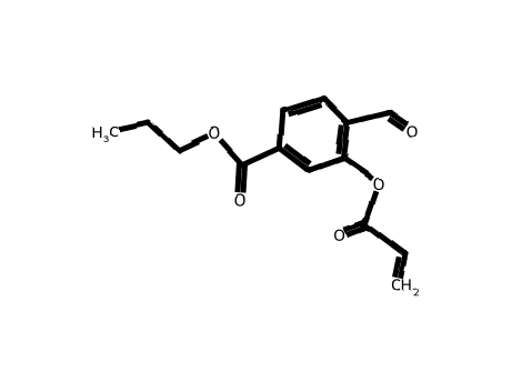 C=CC(=O)Oc1cc(C(=O)OCCC)ccc1C=O